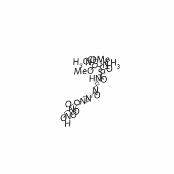 COc1cc(-c2cn(C)c(=O)c3cc(C(=O)NC4CC5(C4)CN(C(=O)CCN4CCN(c6ccc7c(c6)C(=O)N(C6CCC(=O)NC6=O)C7=O)CC4)C5)sc23)cc(OC)c1CN(C)C